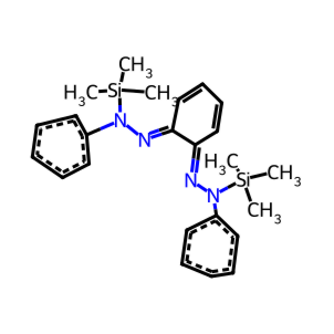 C[Si](C)(C)N(N=C1C=CC=CC1=NN(c1ccccc1)[Si](C)(C)C)c1ccccc1